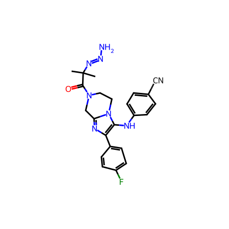 CC(C)(N=NN)C(=O)N1CCn2c(nc(-c3ccc(F)cc3)c2Nc2ccc(C#N)cc2)C1